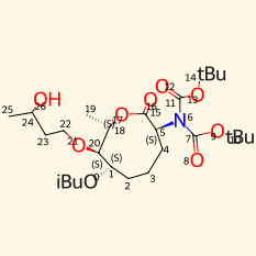 CC(C)CO[C@H]1CCC[C@H](N(C(=O)OC(C)(C)C)C(=O)OC(C)(C)C)C(=O)O[C@@H](C)[C@@H]1OCCC(C)O